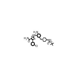 CC(C)(C)OC(=O)NC1CCN(Cc2ccc(N)c(Nc3nc(-c4cccc(Cl)c4)c(C(N)=O)s3)c2)CC1